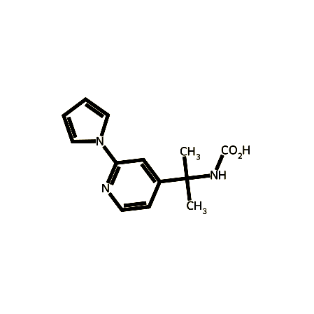 CC(C)(NC(=O)O)c1ccnc(-n2cccc2)c1